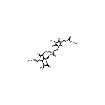 CCCn1c(=O)n(CCC(=O)OC)c(=O)n(CCC(=O)OCN2C(=O)N(CC)C3C2N(COC)C(=O)N3COC)c1=O